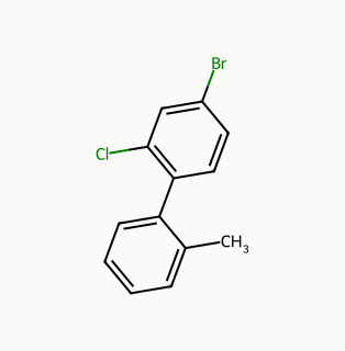 Cc1ccccc1-c1ccc(Br)cc1Cl